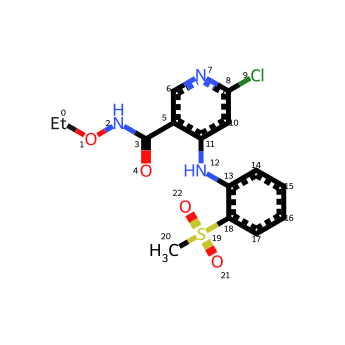 CCONC(=O)c1cnc(Cl)cc1Nc1ccccc1S(C)(=O)=O